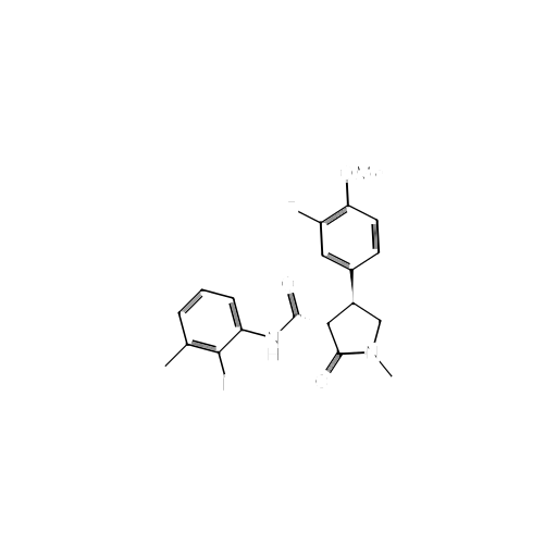 COc1ccc([C@H]2CN(C)C(=O)[C@@H]2C(=O)Nc2cccc(C)c2F)cc1F